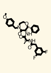 COc1ccc(CN2CCO[C@H](c3ccccc3)[C@H](NC(=O)[C@H](C)NC(=O)Cc3cc(F)cc(F)c3)C2=O)cc1